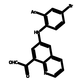 CC(=O)c1cc(Br)ccc1Nc1cc(C(=O)C=O)c2ncccc2c1